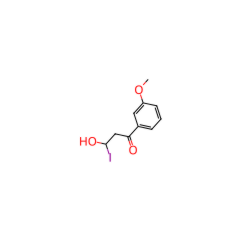 COc1cccc(C(=O)CC(O)I)c1